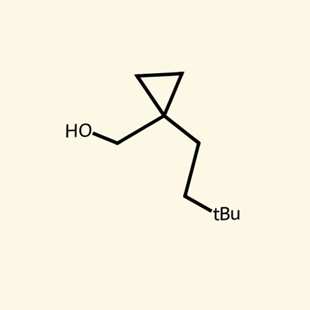 CC(C)(C)CCC1(CO)CC1